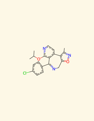 Cc1noc2c1-c1ccnc(OC(C)C)c1C(c1ccc(Cl)cc1)=NC2